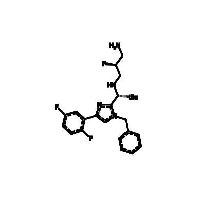 CC(C)(C)[C@@H](NC[C@@H](F)CN)c1nc(-c2cc(F)ccc2F)cn1Cc1ccccc1